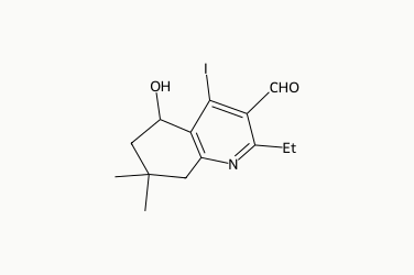 CCc1nc2c(c(I)c1C=O)C(O)CC(C)(C)C2